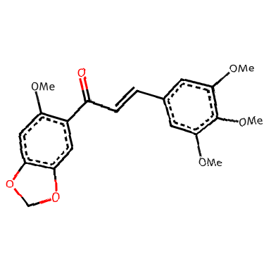 COc1cc2c(cc1C(=O)/C=C/c1cc(OC)c(OC)c(OC)c1)OCO2